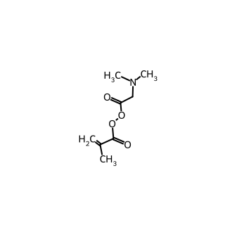 C=C(C)C(=O)OOC(=O)CN(C)C